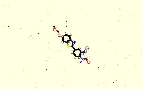 COCOc1ccc2nc(-c3ccc(N(C)C=O)c(N=O)c3)sc2c1